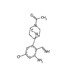 CC(=O)N1CC2CCC1CN2c1cc(Cl)cc(N)c1C=N